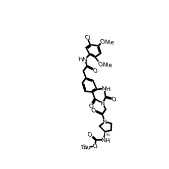 COc1cc(OC)c(NC(=O)Cc2ccc3c(=O)n(CC(=O)N4CC[C@@H](NC(=O)OC(C)(C)C)C4)c(=O)[nH]c3c2)cc1Cl